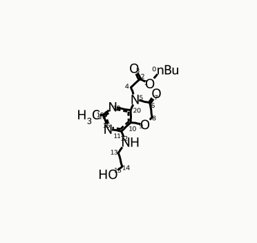 CCCCOC(=O)CN1C(=O)COc2c(NCCO)nc(C)nc21